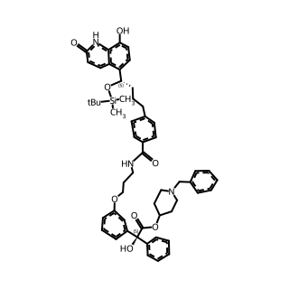 CC(C)(C)[Si](C)(C)O[C@@H](CCCc1ccc(C(=O)NCCCOc2cccc([C@](O)(C(=O)OC3CCN(Cc4ccccc4)CC3)c3ccccc3)c2)cc1)c1ccc(O)c2[nH]c(=O)ccc12